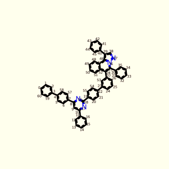 c1ccc(-c2ccc(-c3cc(-c4ccccc4)nc(-c4ccc(-c5cccc(-c6c(-c7ccccc7)n7ncc(-c8ccccc8)c7c7ccccc67)c5)cc4)n3)cc2)cc1